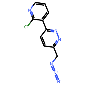 [N-]=[N+]=NCc1ccc(-c2cccnc2Cl)nn1